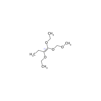 CCO/C(CC)=C(/OCC)OCOC